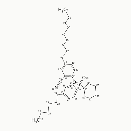 CCCCCCCCCc1ccc(OC(=O)C2(c3ccc(CCCCCC)cc3)CCCCC2)c(C#N)c1